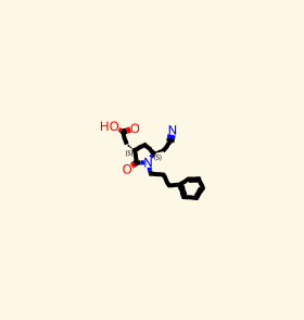 N#CC[C@@H]1C[C@@H](CC(=O)O)C(=O)N1CCCc1ccccc1